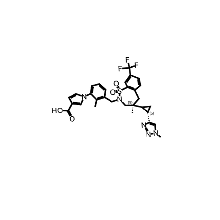 Cc1c(CN2C[C@](C)(C3C[C@@H]3c3cn(C)nn3)Cc3ccc(C(F)(F)F)cc3S2(=O)=O)cccc1-n1ccc(C(=O)O)c1